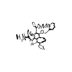 COC(=O)c1c(OCc2ccccc2)c2ccc(Cl)c(Br)c2c2nc(N)nn12